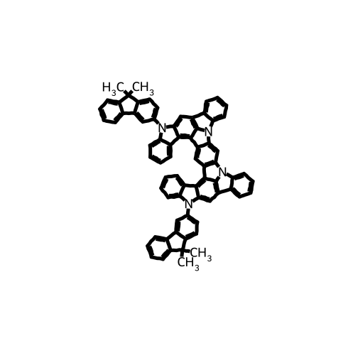 CC1(C)c2ccccc2-c2cc(-n3c4ccccc4c4c5c6cc7c8c9c%10ccccc%10n(-c%10ccc%11c(c%10)-c%10ccccc%10C%11(C)C)c9cc9c%10ccccc%10n(c7cc6n6c7ccccc7c(cc43)c56)c98)ccc21